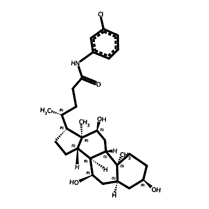 C[C@H](CCC(=O)Nc1cccc(Cl)c1)[C@H]1CC[C@H]2[C@@H]3[C@H](O)C[C@@H]4C[C@H](O)CC[C@]4(C)[C@H]3C[C@H](O)[C@]12C